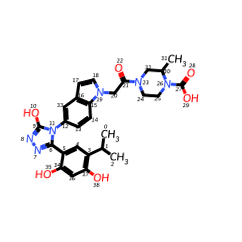 CC(C)c1cc(-c2nnc(O)n2-c2ccc3c(ccn3CC(=O)N3CCN(C(=O)O)C(C)C3)c2)c(O)cc1O